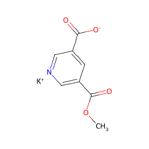 COC(=O)c1cncc(C(=O)[O-])c1.[K+]